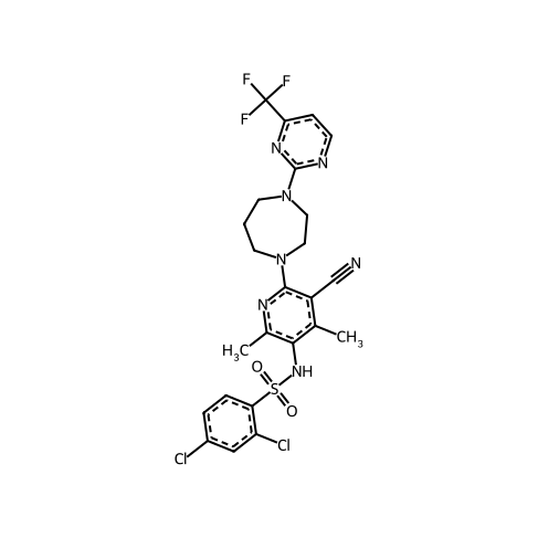 Cc1nc(N2CCCN(c3nccc(C(F)(F)F)n3)CC2)c(C#N)c(C)c1NS(=O)(=O)c1ccc(Cl)cc1Cl